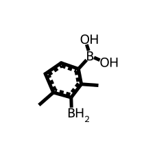 Bc1c(C)ccc(B(O)O)c1C